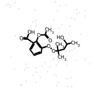 CC(=O)Oc1c(OOC(C)(C)CC(C)O)cccc1C(=O)O